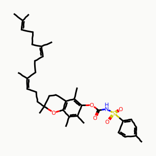 CC(C)=CCCC(C)=CCCC(C)=CCCC1(C)CCc2c(C)c(OC(=O)NS(=O)(=O)c3ccc(C)cc3)c(C)c(C)c2O1